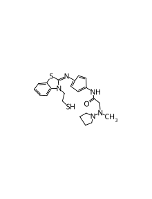 CN(CC(=O)Nc1ccc(N=c2sc3ccccc3n2CCS)cc1)N1CCCC1